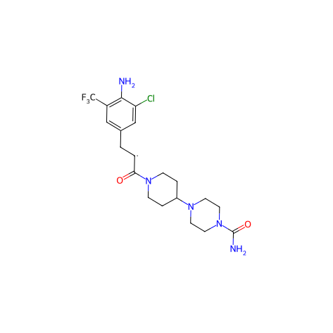 NC(=O)N1CCN(C2CCN(C(=O)[CH]Cc3cc(Cl)c(N)c(C(F)(F)F)c3)CC2)CC1